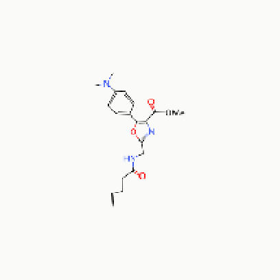 C=CCCC(=O)NCc1nc(C(=O)OC)c(-c2ccc(N(C)C)cc2)o1